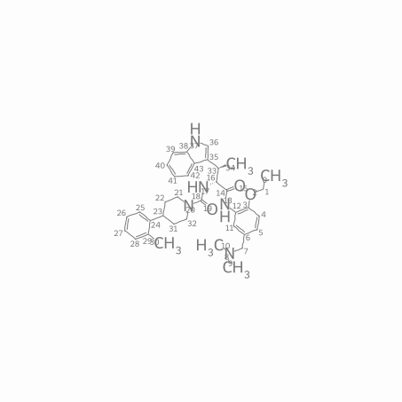 CCOc1ccc(CN(C)C)cc1NC(=O)[C@H](NC(=O)N1CCC(c2ccccc2C)CC1)[C@H](C)c1c[nH]c2ccccc12